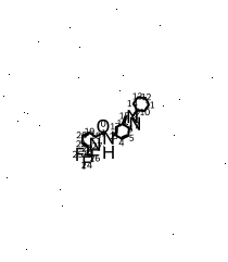 O=C(Nc1ccc2nn(C3CCCCC3)cc2c1)c1cccc(C(F)(F)F)n1